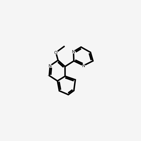 COc1n[c]c2ccccc2c1-c1ncccn1